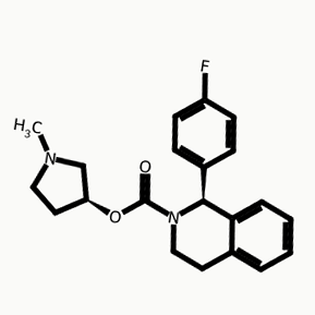 CN1CC[C@H](OC(=O)N2CCc3ccccc3[C@@H]2c2ccc(F)cc2)C1